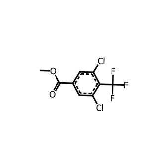 COC(=O)c1cc(Cl)c(C(F)(F)F)c(Cl)c1